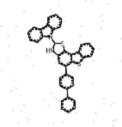 c1ccc(-c2ccc(-c3cc4c(c5c3sc3ccccc35)SC(n3c5ccccc5c5ccccc53)N4)cc2)cc1